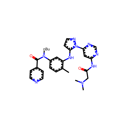 CCCCN(C(=O)c1ccncc1)c1ccc(C)c(Nc2ccnn2-c2cc(NC(=O)CN(C)C)ncn2)c1